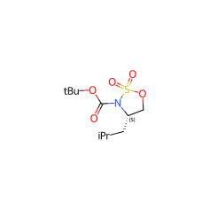 CC(C)C[C@H]1COS(=O)(=O)N1C(=O)OC(C)(C)C